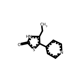 CCc1[nH]c(=O)sc1-c1ccncc1